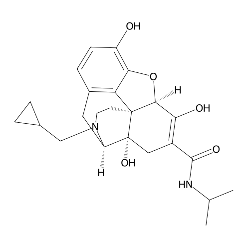 CC(C)NC(=O)C1=C(O)[C@@H]2Oc3c(O)ccc4c3[C@@]23CCN(CC2CC2)[C@H](C4)[C@]3(O)C1